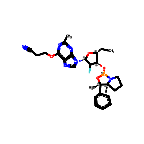 CC[C@H]1O[C@@H](n2cnc3c(OCCC#N)nc(C)nc32)C(F)[C@H]1O[P@@]1O[C@](C)(c2ccccc2)[C@@H]2CCCN21